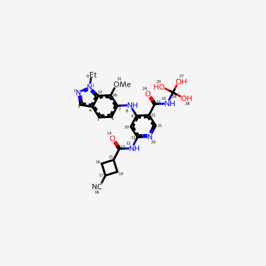 CCn1ncc2ccc(Nc3cc(NC(=O)C4CC(C#N)C4)ncc3C(=O)NC(O)(O)O)c(OC)c21